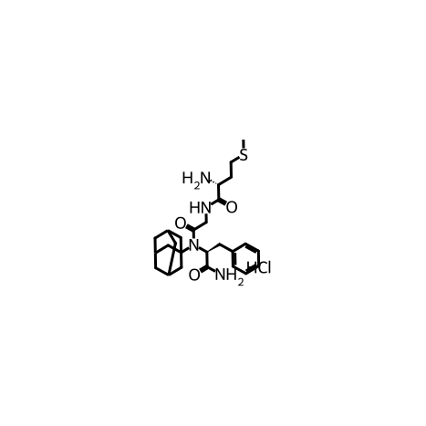 CSCC[C@@H](N)C(=O)NCC(=O)N([C@@H](Cc1ccccc1)C(N)=O)C12CC3CC(CC(C3)C1)C2.Cl